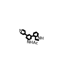 CC(=O)Nc1cc(-c2ccncc2)cc(-c2cccc3[nH]ccc23)c1